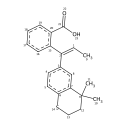 CC=C(c1ccc2c(c1)C(C)(C)CCS2)c1ccccc1C(=O)O